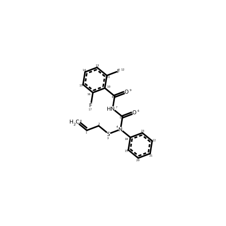 C=CCSN(C(=O)NC(=O)c1c(F)cccc1F)c1ccccc1